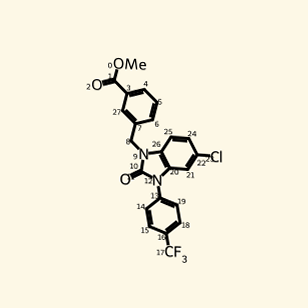 COC(=O)c1cccc(Cn2c(=O)n(-c3ccc(C(F)(F)F)cc3)c3cc(Cl)ccc32)c1